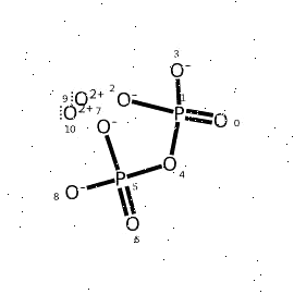 O=P([O-])([O-])OP(=O)([O-])[O-].[O+2].[O+2]